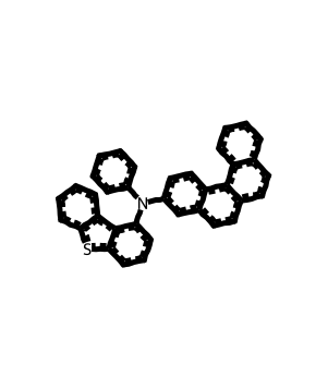 c1ccc(N(c2ccc3c(ccc4ccc5ccccc5c43)c2)c2cccc3sc4ccccc4c23)cc1